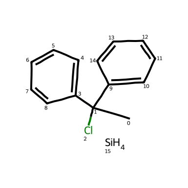 CC(Cl)(c1ccccc1)c1ccccc1.[SiH4]